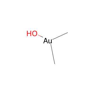 [CH3][Au]([CH3])[OH]